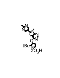 Cc1ncc(-c2nc3c(OC4CCN(C(=O)O)C4C(C)(C)C)ncnc3n2C)cn1